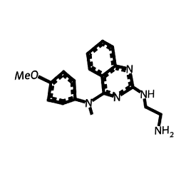 COc1ccc(N(C)c2nc(NCCN)nc3ccccc23)cc1